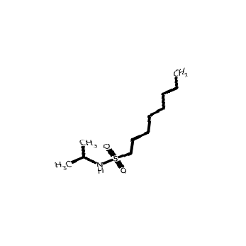 CCCCCCCCS(=O)(=O)NC(C)C